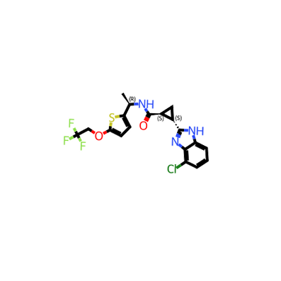 C[C@@H](NC(=O)[C@H]1C[C@@H]1c1nc2c(Cl)cccc2[nH]1)c1ccc(OCC(F)(F)F)s1